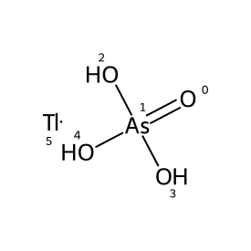 O=[As](O)(O)O.[Tl]